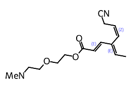 C/C=C(\C=C/CC#N)/C=C/C(=O)OCCOCCNC